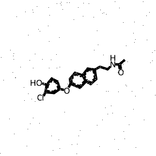 CC(=O)NCCc1ccc2cc(Oc3ccc(O)c(Cl)c3)ccc2c1